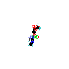 Cl.Cl.O=C(O)[C@H](Cc1ccc(OCCN[C@H]2C3CN(Cc4cc(F)c(F)cc4F)C[C@@H]32)cc1)Oc1cc(F)cc(F)c1